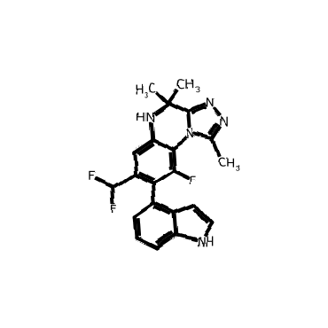 Cc1nnc2n1-c1c(cc(C(F)F)c(-c3cccc4[nH]ccc34)c1F)NC2(C)C